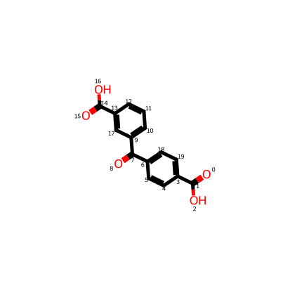 O=C(O)c1ccc(C(=O)c2cccc(C(=O)O)c2)cc1